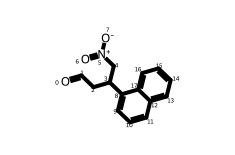 O=CCC(C[N+](=O)[O-])c1cccc2ccccc12